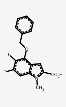 Cn1c(C(=O)O)cc2c(OCc3ccccc3)c(F)c(F)cc21